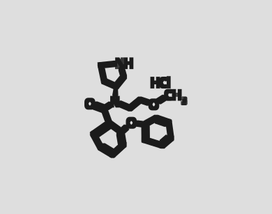 COCCN(C(=O)c1ccccc1Oc1ccccc1)[C@H]1CCNC1.Cl